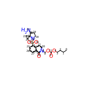 CCCCOC(=O)OCn1ccc2c(S(=O)(=O)N3CC[C@@H](N)C34CC4)cccc2c1=O